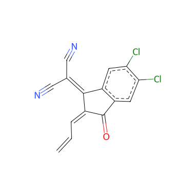 C=C/C=C1\C(=O)c2cc(Cl)c(Cl)cc2C1=C(C#N)C#N